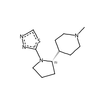 CN1CCC([C@@H]2CCCN2c2nncs2)CC1